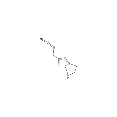 [N-]=[N+]=NCc1cc2n(n1)CCN2